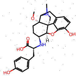 CO[C@@]12CC[C@H](N[C@@H](Cc3ccc(O)cc3)C(=O)O)[C@@H]3Oc4c(O)ccc5c4[C@@]31CCN(C)C2C5